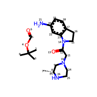 CC(C)(C)OC=O.C[C@@H]1CN(CC(=O)N2CCc3ccc(N)cc32)CCN1